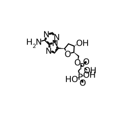 Nc1ncnn2c([C@H]3C[C@H](O)[C@@H](COP(=O)(O)CP(=O)(O)O)O3)cnc12